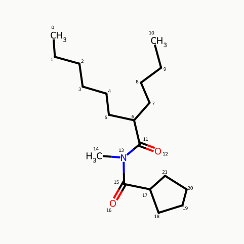 CCCCCCC(CCCC)C(=O)N(C)C(=O)C1CCCC1